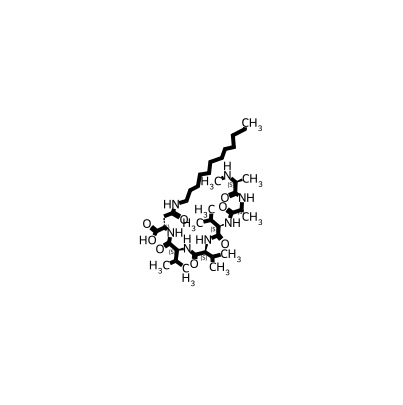 CCCCCCCCCCCCNC(=O)C[C@H](NC(=O)[C@@H](NC(=O)[C@@H](NC(=O)[C@@H](NC(=O)[C@H](C)NC(=O)[C@H](C)NC)C(C)C)C(C)C)C(C)C)C(=O)O